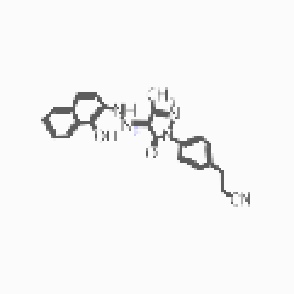 CC1=NN(c2ccc(CCC#N)cc2)C(=O)/C1=N/Nc1ccc2ccccc2c1O